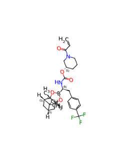 C=CC(=O)N1CCC[C@H](OC(=O)N[C@@H](Cc2ccc(C(F)(F)F)cc2)B2O[C@@H]3C[C@@H]4C[C@@H](C4(C)C)[C@]3(C)O2)C1